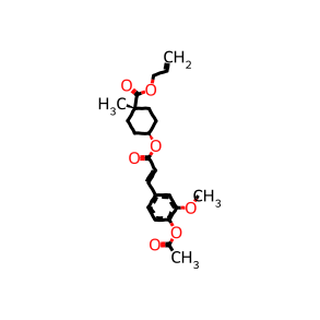 C=CCOC(=O)[C@]1(C)CC[C@@H](OC(=O)/C=C/c2ccc(OC(C)=O)c(OC)c2)CC1